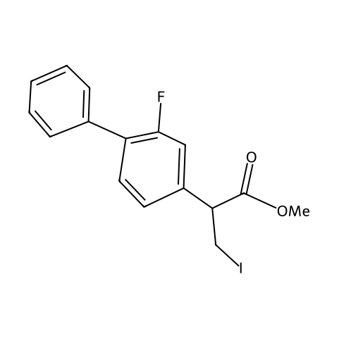 COC(=O)C(CI)c1ccc(-c2ccccc2)c(F)c1